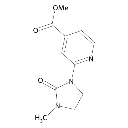 COC(=O)c1ccnc(N2CCN(C)C2=O)c1